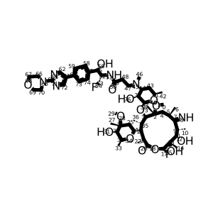 CO[C@]1(C)C[C@@H](C)C(=N)[C@H](C)[C@@H](O)[C@](C)(O)[C@@H](I)OC(=O)[C@H](C)C([C@H]2C[C@@](C)(OC)[C@@H](O)[C@H](C)O2)[C@H](C)[C@H]1O[C@@H]1O[C@H](C)C[C@H](N(C)CCC(=O)N[C@H](CF)[C@H](O)c2ccc(-c3cnc(N4CCOCC4)nc3)cc2)[C@H]1O